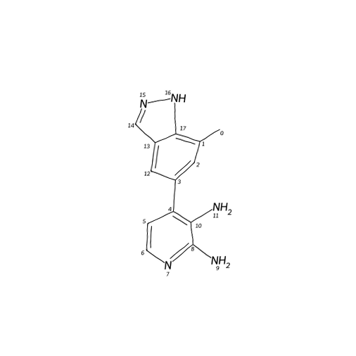 Cc1cc(-c2ccnc(N)c2N)cc2cn[nH]c12